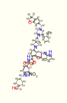 CC(C)c1ccccc1[C@@H]1CN(Cc2ccc3c(c2)OCC3(C)C)CCN1C1CC2(C1)CN(c1ccc(C(=O)NS(=O)(=O)c3ccc(NC[C@H]4CC[C@](C)(O)CC4)c([N+](=O)[O-])c3)c(Oc3cnc4[nH]ccc4c3)c1)C2